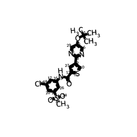 CC(C)(C)Oc1cnc(-c2csc(C(=O)Nc3cc(Cl)cc(S(C)(=O)=O)c3)c2)nc1